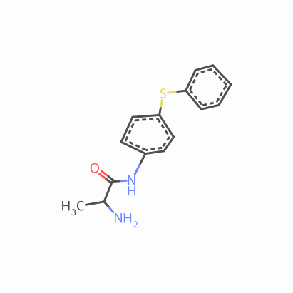 CC(N)C(=O)Nc1ccc(Sc2ccccc2)cc1